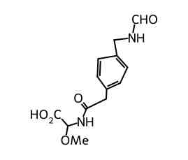 COC(NC(=O)Cc1ccc(CNC=O)cc1)C(=O)O